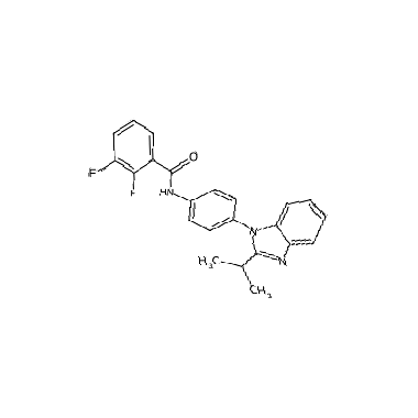 CC(C)c1nc2ccccc2n1-c1ccc(NC(=O)c2cccc(F)c2F)cc1